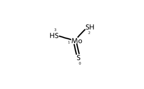 [S]=[Mo]([SH])[SH]